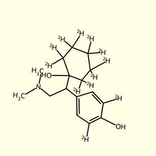 [2H]c1cc(C(CN(C)C)C2(O)C([2H])([2H])C([2H])([2H])C([2H])([2H])C([2H])([2H])C2([2H])[2H])cc([2H])c1O